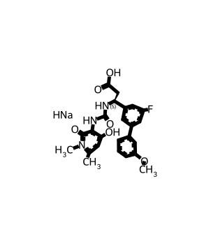 COc1cccc(-c2cc(F)cc([C@H](CC(=O)O)NC(=O)Nc3c(O)cc(C)n(C)c3=O)c2)c1.[NaH]